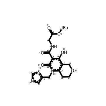 CC(C)(C)OC(=O)CNC(=O)c1c(O)c2c(n(Cc3cncs3)c1=O)CCOC2